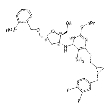 CCCSC1=NC(CCC2CC2Cc2ccc(F)c(F)c2)=C(N)C(N[C@@H]2C[C@H](COCc3ccccc3C(=O)O)O[C@H]2CO)N1